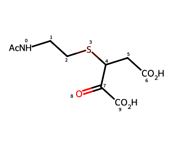 CC(=O)NCCSC(CC(=O)O)C(=O)C(=O)O